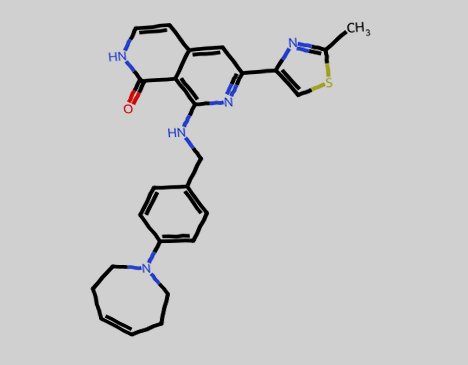 Cc1nc(-c2cc3cc[nH]c(=O)c3c(NCc3ccc(N4CCC=CCC4)cc3)n2)cs1